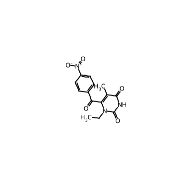 CCn1c(C(=O)c2ccc([N+](=O)[O-])cc2)c(C)c(=O)[nH]c1=O